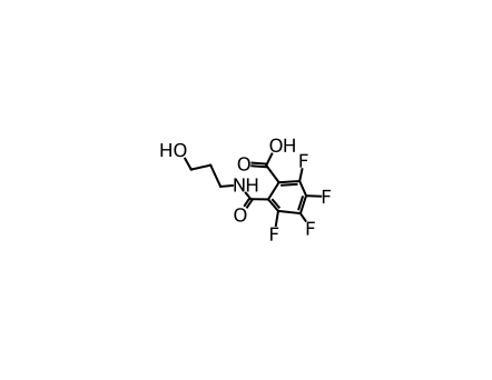 O=C(O)c1c(F)c(F)c(F)c(F)c1C(=O)NCCCO